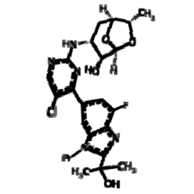 CC(C)n1c(C(C)(C)O)nc2c(F)cc(-c3nc(N[C@@H]4C[C@@H]5O[C@@H](O[C@H]5C)[C@H]4O)ncc3Cl)cc21